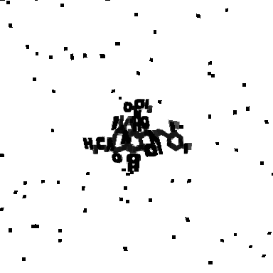 CCN1C[C@@H]2C[C@@H](NC(C)=O)c3c(C(=O)NCc4ccc(F)cc4F)c(=O)c(O)c(n32)C1=O